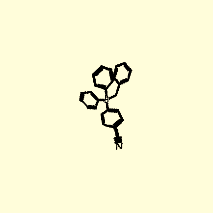 N#Cc1ccc([B-](Cc2ccccc2)(c2ccccc2)c2ccccc2)cc1